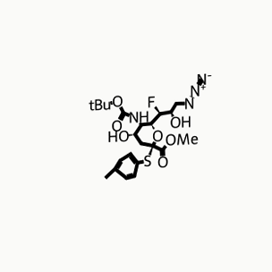 COC(=O)[C@]1(Sc2ccc(C)cc2)C[C@H](O)[C@@H](NC(=O)OC(C)(C)C)[C@H]([C@@H](F)[C@H](O)CN=[N+]=[N-])O1